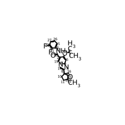 CC(C)Oc1cc2nc(C34CCC(C)(C3)OC4)cn2cc1C(=O)Nc1cccc(F)c1F